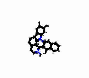 Cc1cc2c3ccc4cc[n+](C)c5c6c(C)c7ccccc7cc6n(c2cc1C)c3c45